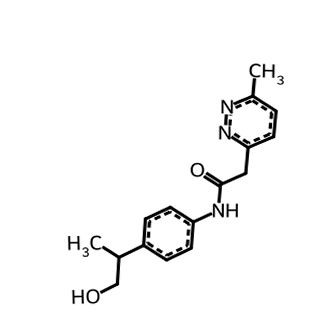 Cc1ccc(CC(=O)Nc2ccc(C(C)CO)cc2)nn1